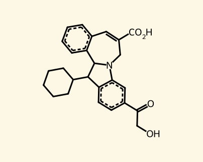 O=C(O)C1=Cc2ccccc2C2C(C3CCCCC3)c3ccc(C(=O)CO)cc3N2C1